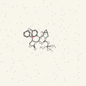 CC(C)(C)OC(=O)N1CC2C[C@@H]2[C@H]1[C@@H](C(=O)N1C(=O)OCC1Cc1ccccc1)c1ccc(Cl)cc1